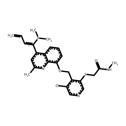 C=C/C=C(/c1cc(C)nc2c(OCc3c(Cl)cncc3SCC(=O)NC)cccc12)N(C)C